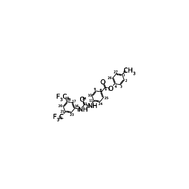 Cc1ccc(OC(=O)c2ccc(NC(=O)Nc3cc(C(F)(F)F)cc(C(F)(F)F)c3)cc2)cc1